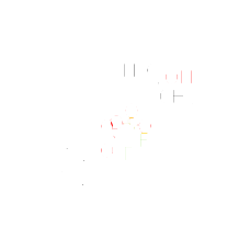 CC(C)(O)CCOS(=O)(=O)C(F)(F)C(=O)OCC12CC3CC(CC(C3)C1)C2